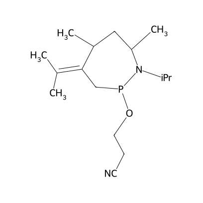 CC(C)=C1CP(OCCC#N)N(C(C)C)C(C)CC1C